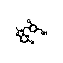 Cc1nc2ccc(Br)nc2n1Cc1ccc(CO)cc1Cl